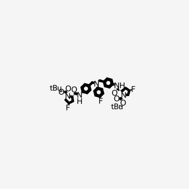 CC(C)(C)OC(=O)N1C[C@H](F)C[C@H]1C(=O)Nc1ccc(CN(Cc2ccc(NC(=O)[C@@H]3C[C@@H](F)CN3C(=O)OC(C)(C)C)cc2)c2ccc(F)cc2)cc1